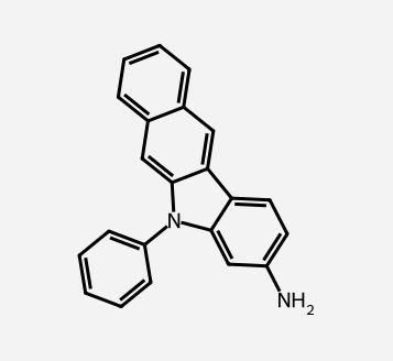 Nc1ccc2c3cc4ccccc4cc3n(-c3ccccc3)c2c1